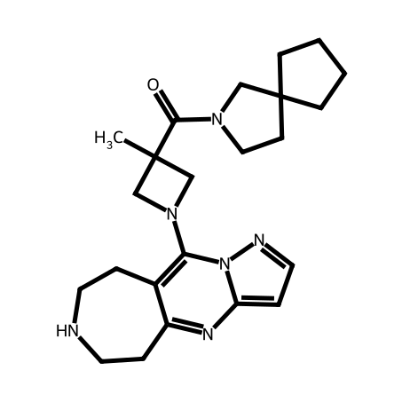 CC1(C(=O)N2CCC3(CCCC3)C2)CN(c2c3c(nc4ccnn24)CCNCC3)C1